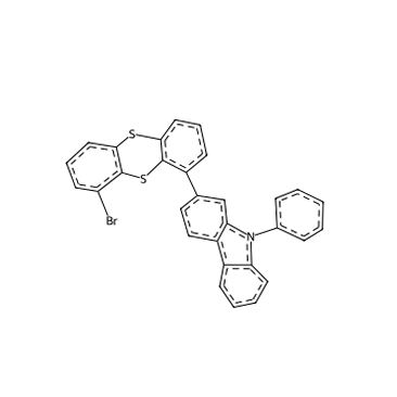 Brc1cccc2c1Sc1c(cccc1-c1ccc3c4ccccc4n(-c4ccccc4)c3c1)S2